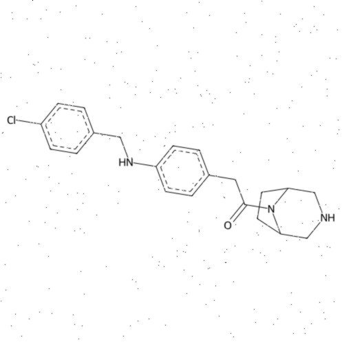 O=C(Cc1ccc(NCc2ccc(Cl)cc2)cc1)N1C2CCC1CNC2